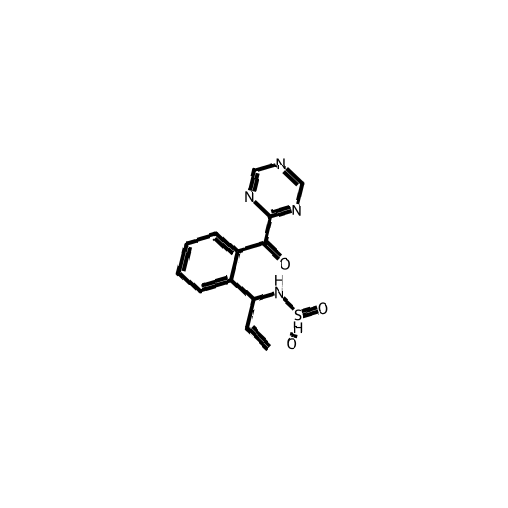 C=CC(N[SH](=O)=O)c1ccccc1C(=O)c1ncncn1